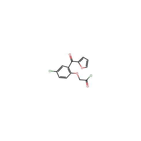 O=C(Cl)COc1ccc(Cl)cc1C(=O)c1ccco1